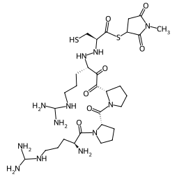 CN1C(=O)CC(SC(=O)[C@H](CS)NN[C@@H](CCCNC(N)N)C(=O)C(=O)[C@@H]2CCCN2C(=O)[C@@H]2CCCN2C(=O)[C@@H](N)CCCNC(N)N)C1=O